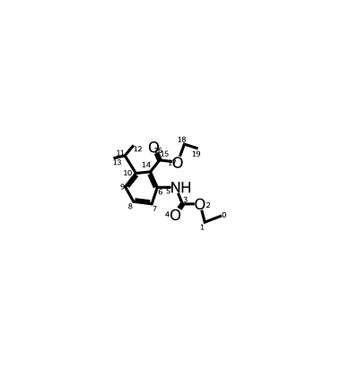 CCOC(=O)Nc1cccc(C(C)C)c1C(=O)OCC